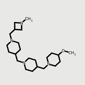 COC1CCN(CC2CCN(CC3CCN(CC4CN(C)C4)CC3)CC2)CC1